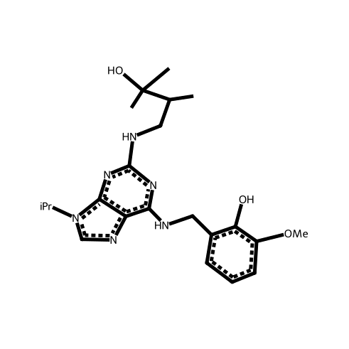 COc1cccc(CNc2nc(NCC(C)C(C)(C)O)nc3c2ncn3C(C)C)c1O